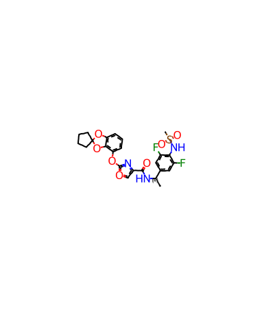 C[C@@H](NC(=O)c1coc(Oc2cccc3c2OC2(CCCC2)O3)n1)c1cc(F)c(NS(C)(=O)=O)c(F)c1